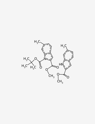 COC(=O)c1cc2ccc(C)cc2[nH]1.COC(=O)c1cc2ccc(C)cc2n1C(=O)OC(C)(C)C